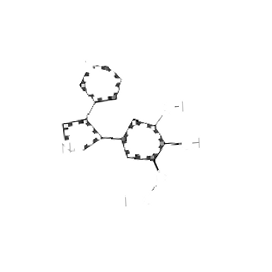 COc1cc(-c2sncc2-c2cccnc2)cc(C)c1C